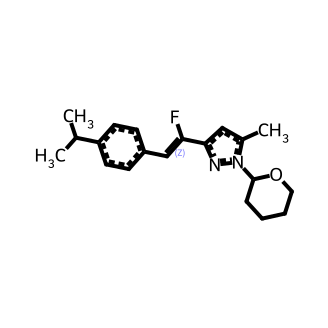 Cc1cc(/C(F)=C/c2ccc(C(C)C)cc2)nn1C1CCCCO1